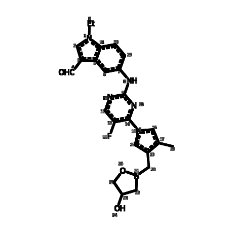 CCn1cc(C=O)c2cc(Nc3ncc(F)c(-n4cc(C)c(CN5CC(O)CO5)c4)n3)ccc21